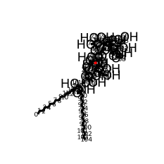 CCCCCCCCCCCCC/C=C/[C@@H](O)[C@H](CO[C@@H]1OC(CO)[C@@H](O[C@@H]2OC(CO)[C@H](O)[C@H](O[C@@H]3OC(CO)[C@@H](O[C@@H]4OC(CO[C@]5(C(=O)O)CC(O)[C@@H](NC(C)=O)C([C@H](O)[C@H](O)CO)O5)[C@H](O)[C@H](O)C4O)[C@H](O)C3NC(C)=O)C2O)[C@H](O)C1O)NC(=O)CCCCCCCCCCCCCCC